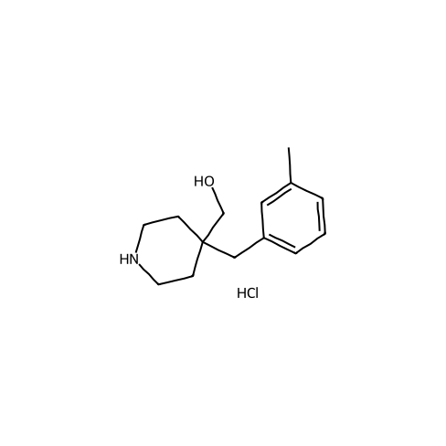 Cc1cccc(CC2(CO)CCNCC2)c1.Cl